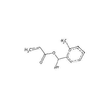 [CH2]c1ccccc1C(CCC)OC(=O)C=C